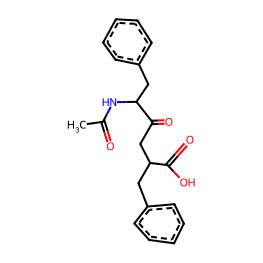 CC(=O)NC(Cc1ccccc1)C(=O)CC(Cc1ccccc1)C(=O)O